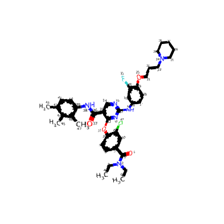 CCN(CC)C(=O)c1ccc(Oc2nc(Nc3ccc(OCCCN4CCCCC4)c(F)c3)ncc2C(=O)Nc2ccc(C)c(C)c2C)c(Cl)c1